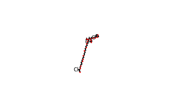 C=C=C(Cl)CCCCCCCCCCCCCCCCCCCCCCCOCC(CN(CCOCc1ccccc1)C1CCC1)C(C)C